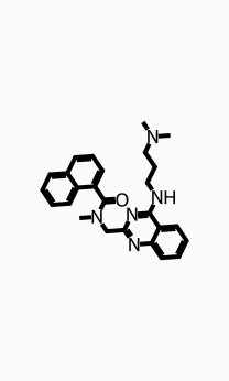 CN(C)CCCNc1nc(CN(C)C(=O)c2cccc3ccccc23)nc2ccccc12